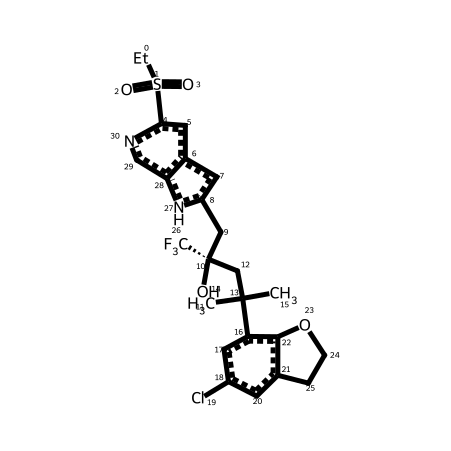 CCS(=O)(=O)c1cc2cc(C[C@](O)(CC(C)(C)c3cc(Cl)cc4c3OCC4)C(F)(F)F)[nH]c2cn1